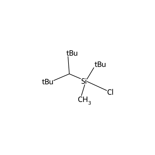 CC(C)(C)C(C(C)(C)C)[Si](C)(Cl)C(C)(C)C